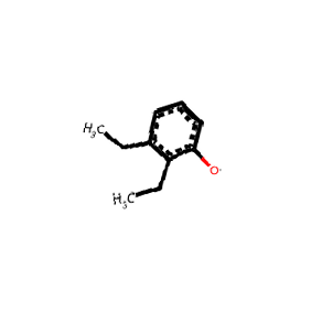 CCc1cccc([O])c1CC